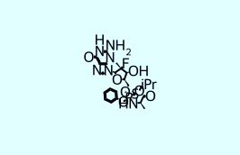 CC(C)OC(=O)[C@@H](C)N[P@@](=S)(OC[C@H]1O[C@@H](n2cnc3c(=O)[nH]c(N)nc32)[C@](C)(F)[C@@H]1O)Oc1ccccc1